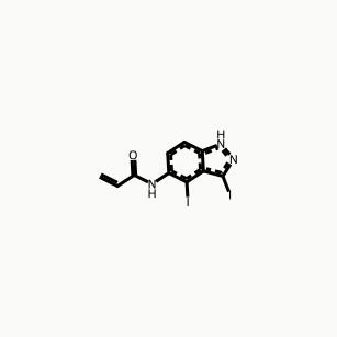 C=CC(=O)Nc1ccc2[nH]nc(I)c2c1I